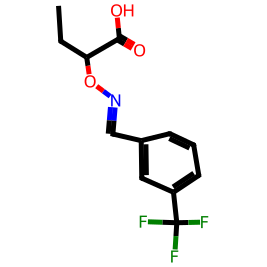 CCC(ON=Cc1cccc(C(F)(F)F)c1)C(=O)O